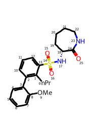 CCCc1c(-c2ccccc2OC)cccc1S(=O)(=O)N[C@@H]1CCCCNC1=O